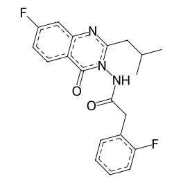 CC(C)Cc1nc2cc(F)ccc2c(=O)n1NC(=O)Cc1ccccc1F